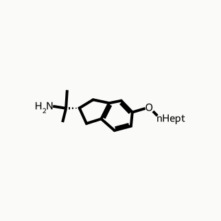 CCCCCCCOc1ccc2c(c1)C[C@@H](C(C)(C)N)C2